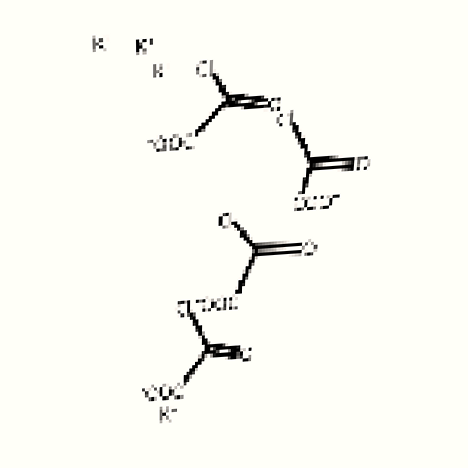 O=C([O-])C(=O)Cl.O=C([O-])C(=O)Cl.O=C([O-])C(=O)Cl.O=C([O-])C(=O)Cl.[K+].[K+].[K+].[K+]